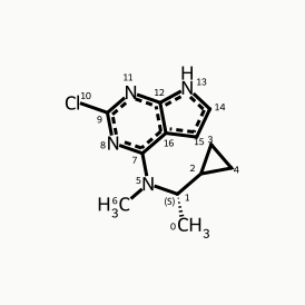 C[C@@H](C1CC1)N(C)c1nc(Cl)nc2[nH]ccc12